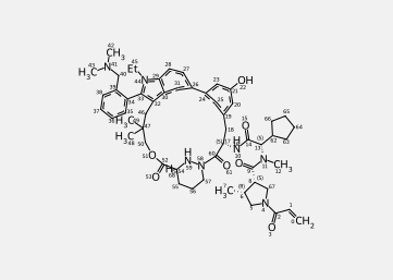 C=CC(=O)N1C[C@H](C)[C@H](C(=O)N(C)[C@H](C(=O)N[C@H]2Cc3cc(O)cc(c3)-c3ccc4c(c3)c(c(-c3ccccc3CN(C)C)n4CC)CC(C)(C)COC(=O)[C@@H]3CCCN(N3)C2=O)C2CCCC2)C1